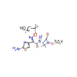 CC1(C)[C@H](NC(=O)/C(=N\OC2(C(=O)O)CC2)c2csc(N)n2)C(=O)N1OS(=O)(=O)O